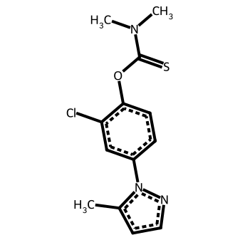 Cc1ccnn1-c1ccc(OC(=S)N(C)C)c(Cl)c1